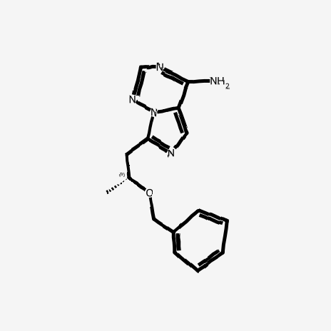 C[C@H](Cc1ncc2c(N)ncnn12)OCc1ccccc1